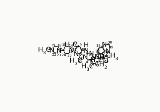 C=C(C)c1cnc(Nc2cc(C)c(N3CCC(N4CCN(C)CC4)CC3)nc2OC)nc1Nc1ccc2nccnc2c1P(C)(C)=O